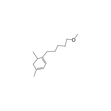 COCCCCCC1=CC=C(C)CC1C